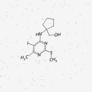 CSc1nc(C)c(I)c(NC2(CO)CCCC2)n1